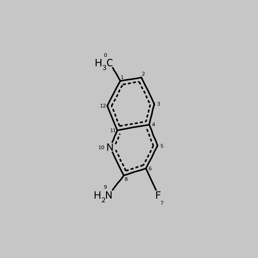 Cc1ccc2cc(F)c(N)nc2c1